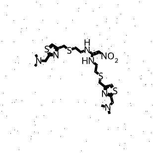 CN(C)Cc1nc(CSCCNC(=C[N+](=O)[O-])NCCSCc2csc(CN(C)C)n2)cs1